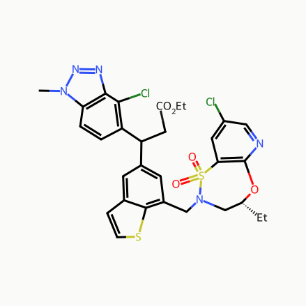 CCOC(=O)CC(c1cc(CN2C[C@@H](CC)Oc3ncc(Cl)cc3S2(=O)=O)c2sccc2c1)c1ccc2c(nnn2C)c1Cl